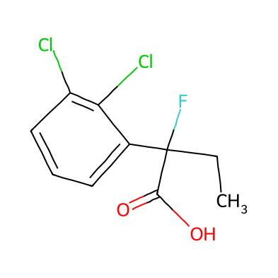 CCC(F)(C(=O)O)c1cccc(Cl)c1Cl